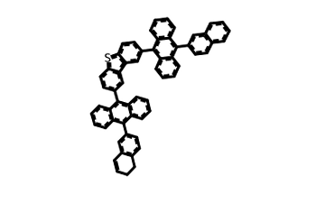 C1=Cc2cc(-c3c4ccccc4c(-c4ccc5sc6ccc(-c7c8ccccc8c(-c8ccc9ccccc9c8)c8ccccc78)cc6c5c4)c4ccccc34)ccc2CC1